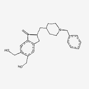 C=C1c2cc(CO)c(CO)cc2CC1CC1CCN(Cc2ccccc2)CC1